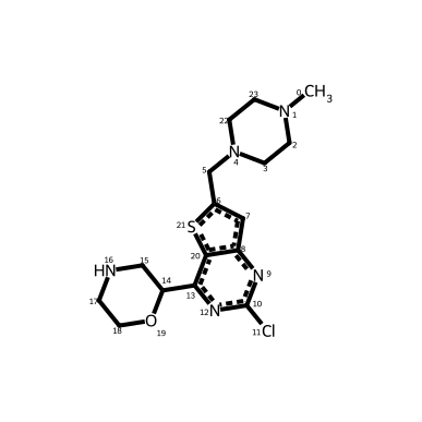 CN1CCN(Cc2cc3nc(Cl)nc(C4CNCCO4)c3s2)CC1